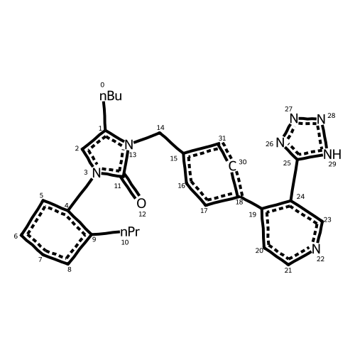 CCCCc1cn(-c2ccccc2CCC)c(=O)n1Cc1ccc(-c2ccncc2-c2nnn[nH]2)cc1